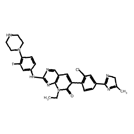 CCn1c(=O)c(-c2ccc(C3=NCC(C)=N3)cc2Cl)cc2cnc(Nc3ccc(N4CCNCC4)c(F)c3)nc21